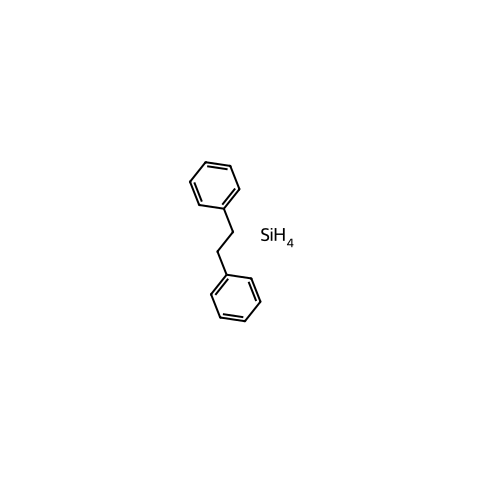 [SiH4].c1ccc(CCc2ccccc2)cc1